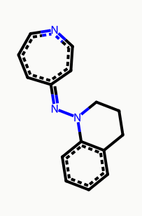 c1ccc2c(c1)CCCN2N=c1cccncc1